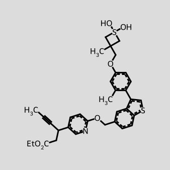 CC#CC(CC(=O)OCC)c1ccc(OCc2ccc3scc(-c4ccc(OCC5(C)CS(O)(O)C5)cc4C)c3c2)nc1